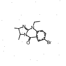 CCN1C2=NC(C)C(C)N2C(=O)c2cc(Br)ccc21